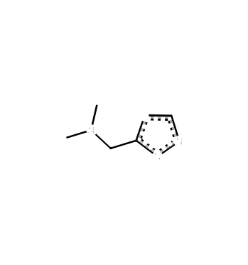 CN(C)Cc1nncs1